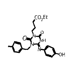 CCOC(=O)CCCn1c(=O)[nH]/c(=N\c2ccc(O)cc2)n(Cc2ccc(C)cc2)c1=O